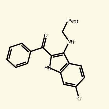 CCCC(C)CNc1c(C(=O)c2ccccc2)[nH]c2cc(Cl)ccc12